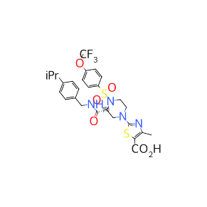 Cc1nc(N2CCN(S(=O)(=O)c3ccc(OC(F)(F)F)cc3)[C@@H](C(=O)NCc3ccc(C(C)C)cc3)C2)sc1C(=O)O